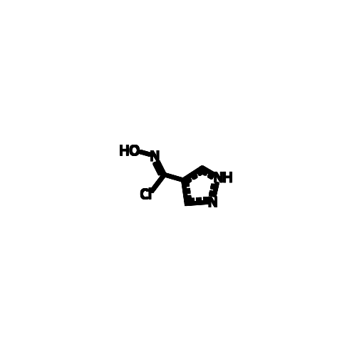 ON=C(Cl)c1cn[nH]c1